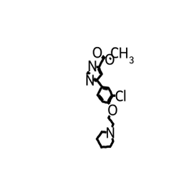 COC(=O)c1cc(-c2ccc(OCCN3CCCCC3)c(Cl)c2)ncn1